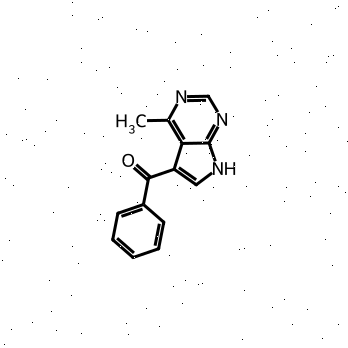 Cc1ncnc2[nH]cc(C(=O)c3ccccc3)c12